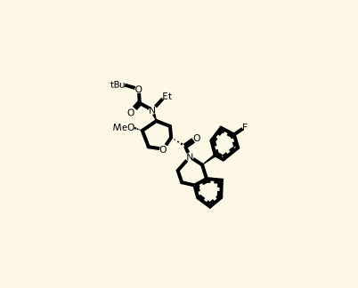 CCN(C(=O)OC(C)(C)C)[C@H]1C[C@H](C(=O)N2CCc3ccccc3[C@@H]2c2ccc(F)cc2)OC[C@@H]1OC